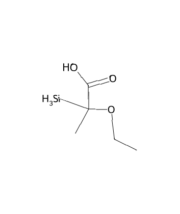 CCOC(C)([SiH3])C(=O)O